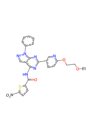 CCOCCOc1ccc(-c2nc(NC(=O)c3ccc([N+](=O)[O-])s3)c3cnn(-c4ccccc4)c3n2)cn1